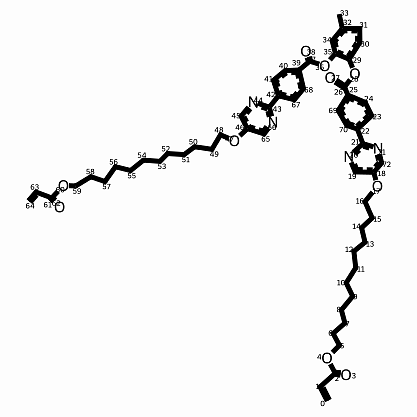 C=CC(=O)OCCCCCCCCCCCCOc1cnc(-c2ccc(C(=O)Oc3ccc(C)cc3OC(=O)c3ccc(-c4ncc(OCCCCCCCCCCCCOC(=O)C=C)cn4)cc3)cc2)nc1